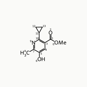 COC(=O)c1cc(O)c(C)nc1C1CC1